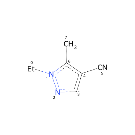 CCn1n[c]c(C#N)c1C